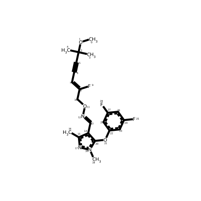 COC(C)(C)C#CC=C(F)CON=Cc1c(C)nn(C)c1Oc1cc(F)cc(F)c1